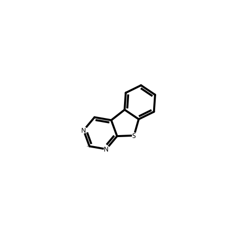 [c]1ncc2c(n1)sc1ccccc12